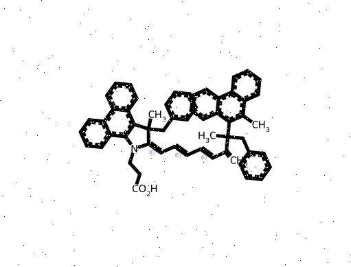 C=C(/C=C/C=C/C=C1/N(CCC(=O)O)c2c(c3ccccc3c3ccccc23)C1(C)Cc1ccccc1)C(C)(Cc1ccccc1)c1c(C)c2ccccc2c2ccccc12